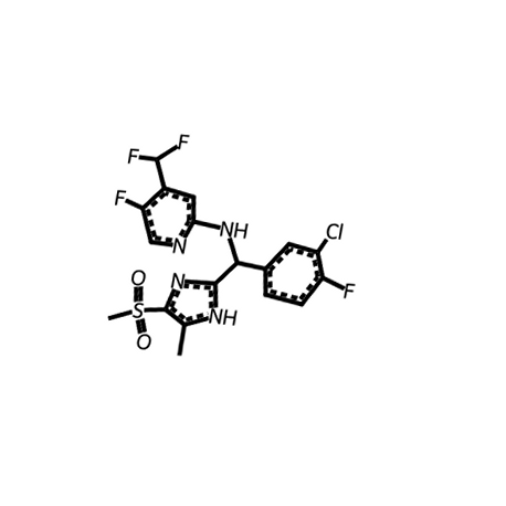 Cc1[nH]c(C(Nc2cc(C(F)F)c(F)cn2)c2ccc(F)c(Cl)c2)nc1S(C)(=O)=O